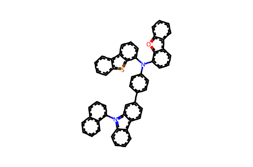 c1ccc2c(-n3c4ccccc4c4ccc(-c5ccc(N(c6cccc7c6oc6ccccc67)c6cccc7c6sc6ccccc67)cc5)cc43)cccc2c1